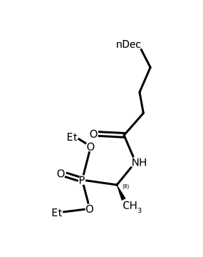 CCCCCCCCCCCCCC(=O)N[C@@H](C)P(=O)(OCC)OCC